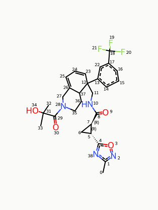 Cc1noc([C@@H]2C[C@H]2C(=O)NCC2(c3cccc(C(F)(F)F)c3)C=CC=C3CN(C(=O)C(C)(C)O)CCC32)n1